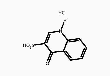 CCn1cc(S(=O)(=O)O)c(=O)c2ccccc21.Cl